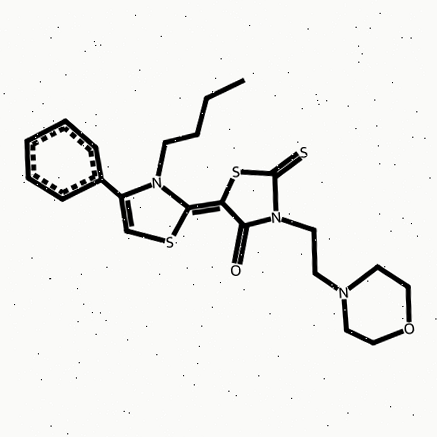 CCCCN1C(c2ccccc2)=CS/C1=C1/SC(=S)N(CCN2CCOCC2)C1=O